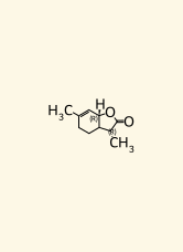 CC1=C[C@@H]2OC(=O)[C@H](C)C2CC1